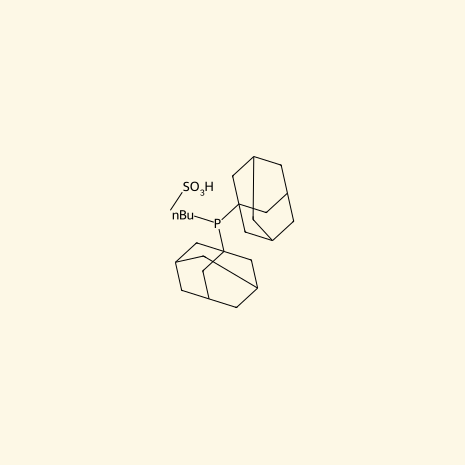 CCCCP(C12CC3CC(CC(C3)C1)C2)C12CC3CC(CC(C3)C1)C2.CS(=O)(=O)O